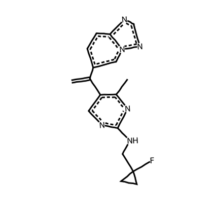 C=C(c1ccc2ncnn2c1)c1cnc(NCC2(F)CC2)nc1C